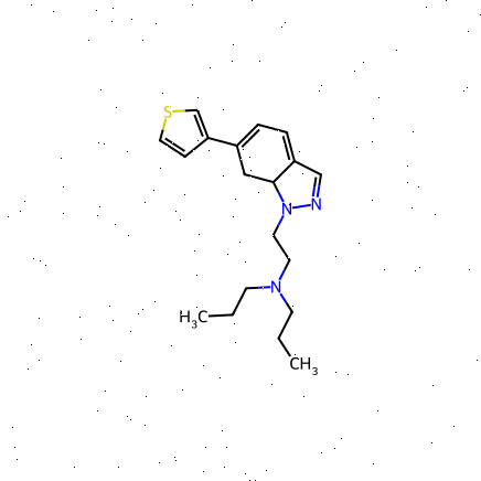 CCCN(CCC)CCN1N=CC2=CC=C(c3ccsc3)CC21